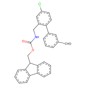 O=Cc1cccc(-c2ccc(Cl)cc2CNC(=O)OCC2c3ccccc3-c3ccccc32)c1